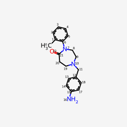 Cc1ccccc1N1CCN(Cc2ccc(N)cc2)CCC1=O